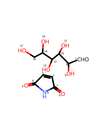 O=C1C=CC(=O)N1.O=CC(O)C(O)C(O)C(O)CO